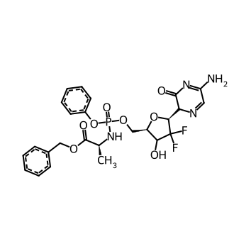 C[C@H](NP(=O)(OC[C@H]1O[C@@H](C2N=CC(N)=NC2=O)C(F)(F)C1O)Oc1ccccc1)C(=O)OCc1ccccc1